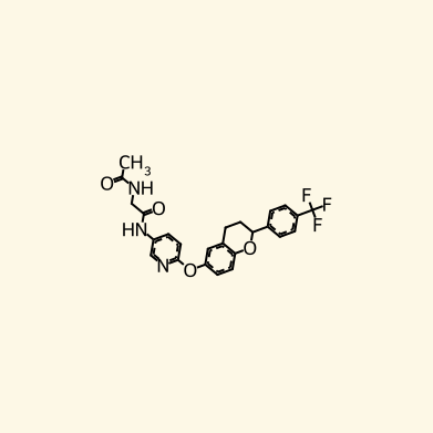 CC(=O)NCC(=O)Nc1ccc(Oc2ccc3c(c2)CCC(c2ccc(C(F)(F)F)cc2)O3)nc1